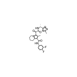 Cc1noc([C@@H](C)NC(=O)C(=O)c2c(C)c(C(=O)Nc3ccc(F)c(F)c3)c3n2CCCC3)n1